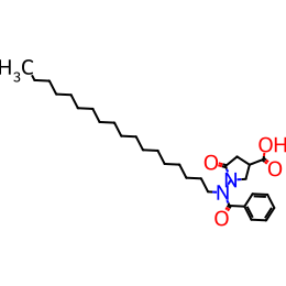 CCCCCCCCCCCCCCCCCCN(C(=O)c1ccccc1)N1CC(C(=O)O)CC1=O